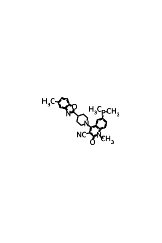 Cc1ccc2oc(C3CCN(c4c(C#N)c(=O)n(C)c5ccc(P(C)C)cc45)CC3)nc2c1